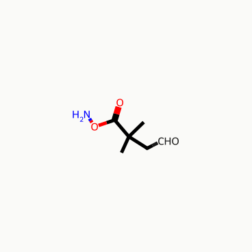 CC(C)(CC=O)C(=O)ON